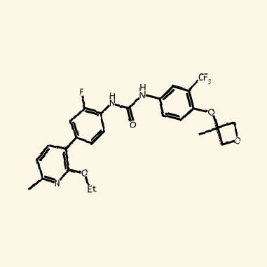 CCOc1nc(C)ccc1-c1ccc(NC(=O)Nc2ccc(OC3(C)COC3)c(C(F)(F)F)c2)c(F)c1